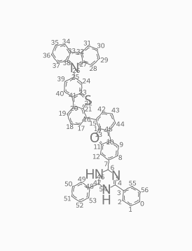 c1ccc(C2=NC(c3ccc4c(c3)oc3c(-c5cccc6c5sc5cc(-n7c8ccccc8c8ccccc87)ccc56)cccc34)NC(c3ccccc3)N2)cc1